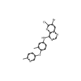 Cc1ccc(Oc2ccc(Nc3ncnc4cc(Br)c(Cl)nc34)cc2C)cn1